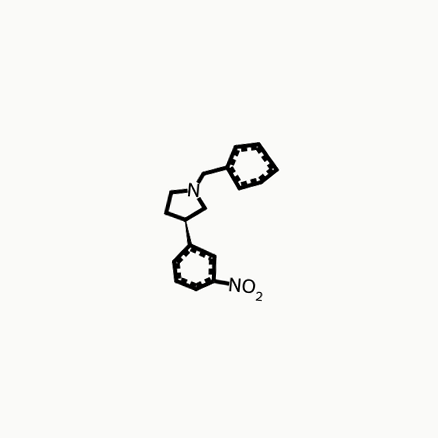 O=[N+]([O-])c1cccc([C@H]2CCN(Cc3ccccc3)C2)c1